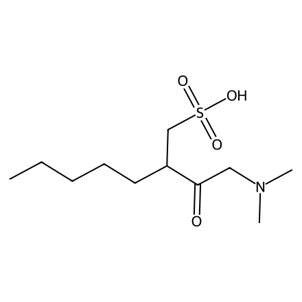 CCCCCC(CS(=O)(=O)O)C(=O)CN(C)C